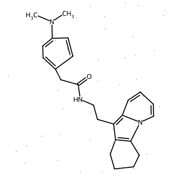 CN(C)c1ccc(CC(=O)NCCc2c3c(n4ccccc24)CCCC3)cc1